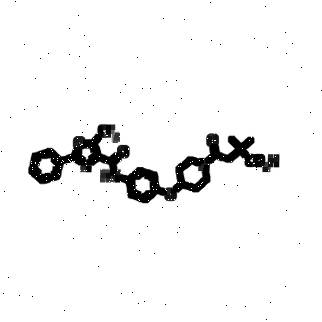 CC(C)(CC(=O)N1CCC(Oc2ccc(NC(=O)c3nc(-c4ccccc4)oc3C(F)(F)F)cc2)CC1)C(=O)O